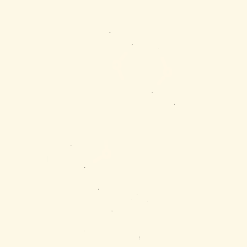 CC(C)(C)C(F)(F)C(F)(OSCC1(F)OC(F)(C(F)(F)F)C(F)(F)OC1(F)C(F)(F)F)C(F)(F)F